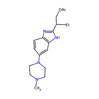 CCC(COC(C)=O)c1nc2ccc(N3CCN(C)CC3)cc2[nH]1